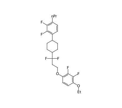 CCCc1ccc(C2CCC(C(F)(F)CCOc3ccc(OCC)c(F)c3F)CC2)c(F)c1F